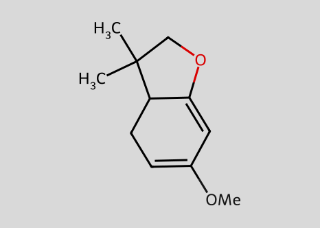 COC1=CCC2C(=C1)OCC2(C)C